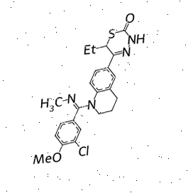 CCC1SC(=O)NN=C1c1ccc2c(c1)CCCN2C(=NC)c1ccc(OC)c(Cl)c1